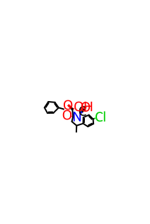 CC(CC(N=C=O)(OCc1ccccc1)C(=O)O)c1ccc(Cl)cc1